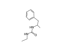 CCNC(=O)NC(C)Cc1ccccc1